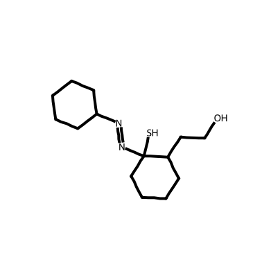 OCCC1CCCCC1(S)N=NC1CCCCC1